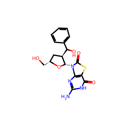 Nc1nc2c(sc(=O)n2[C@@H]2O[C@H](CO)C[C@H]2C(O)c2ccccc2)c(=O)[nH]1